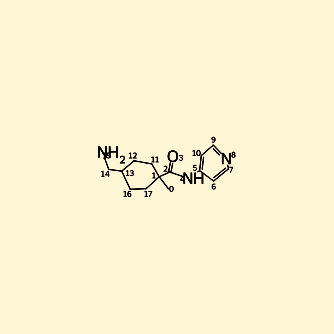 CC1(C(=O)Nc2ccncc2)CCC(CN)CC1